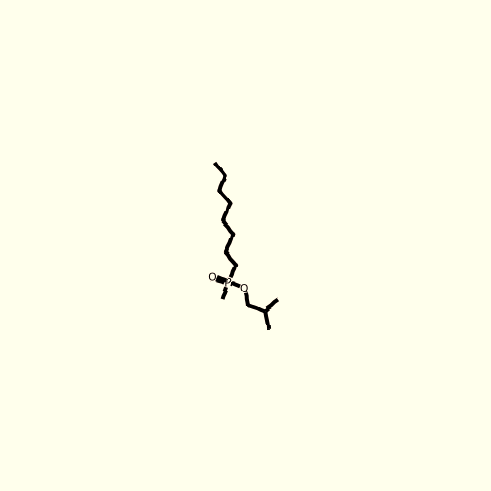 CCCCCCCCP(C)(=O)OCC(C)C